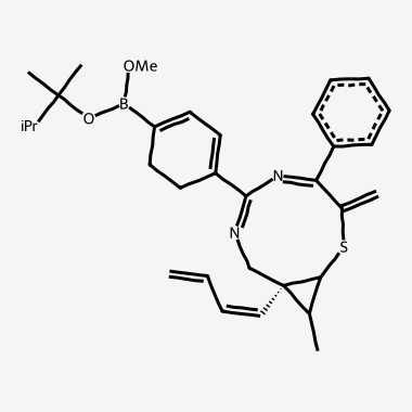 C=C/C=C\[C@]12C/N=C(C3=CC=C(B(OC)OC(C)(C)C(C)C)CC3)\N=C(\c3ccccc3)C(=C)SC1C2C